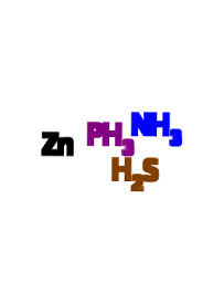 N.P.S.[Zn]